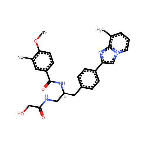 Cc1cccn2cc(-c3ccc(C[C@@H](CNC(=O)CO)NC(=O)c4ccc(OC(C)C)c(C#N)c4)cc3)nc12